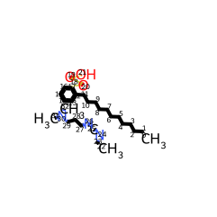 CCCCCCCCCCCCc1ccccc1S(=O)(=O)O.CCN=C=NCCCN(C)C